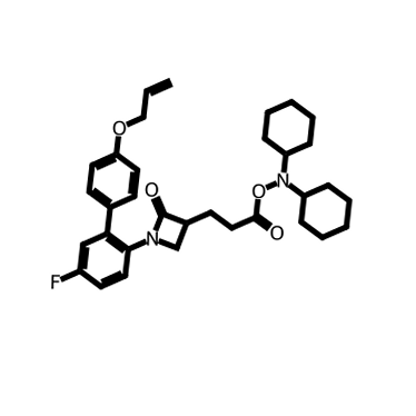 C=CCOc1ccc(-c2cc(F)ccc2N2CC(CCC(=O)ON(C3CCCCC3)C3CCCCC3)C2=O)cc1